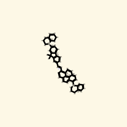 CC1(C)c2cc(/C=C/c3ccc4ccc5c(N6CCCc7ccccc76)ccc6ccc3c4c65)ccc2-c2ccc(N3CCCC4=C3CCC=C4)cc21